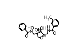 Cc1cccc(C(=O)NC[C@H]2OC[C@@](O)(CN(O)C(=O)c3ccccc3)[C@@H]2O)c1